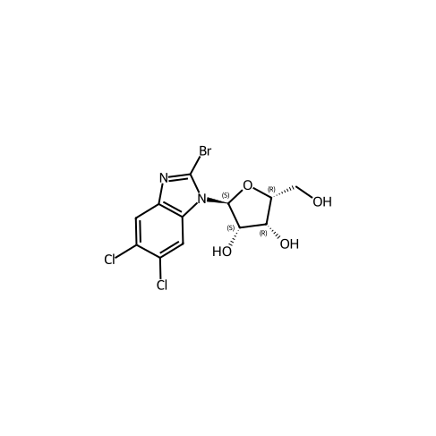 OC[C@H]1O[C@H](n2c(Br)nc3cc(Cl)c(Cl)cc32)[C@@H](O)[C@H]1O